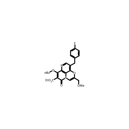 CCCCOc1c(C(=O)OCC)c(=O)n2c3c(c(Cc4ccc(F)cc4)cnc13)OC(COC)=C2